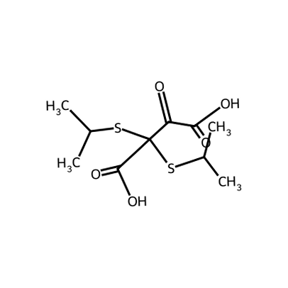 CC(C)SC(SC(C)C)(C(=O)O)C(=O)C(=O)O